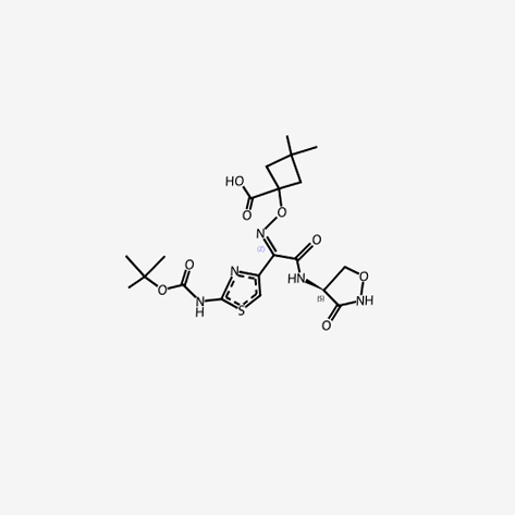 CC1(C)CC(O/N=C(\C(=O)N[C@H]2CONC2=O)c2csc(NC(=O)OC(C)(C)C)n2)(C(=O)O)C1